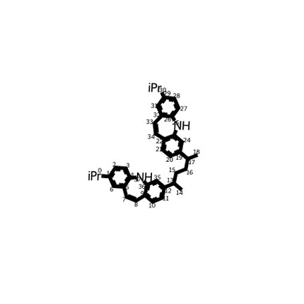 CC(C)c1ccc2c(c1)C=Cc1ccc(C(C)CCC(C)c3ccc4c(c3)Nc3ccc(C(C)C)cc3C=C4)cc1N2